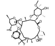 CC[C@H]1OC(=O)[C@H](C)[C@@H](O[C@H]2C[C@@](C)(OC)[C@@H](O)[C@H](C)O2)[C@H](C)[C@@H](O[C@@H]2O[C@H](C)C[C@H](N(C)C)[C@H]2Oc2cncc(C(F)(F)F)c2)[C@](C)(O)C[C@@H](C)CN(C)[C@H](C)[C@@H](O)[C@]1(C)O